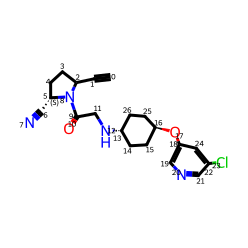 C#CC1CC[C@@H](C#N)N1C(=O)CN[C@H]1CC[C@H](Oc2cncc(Cl)c2)CC1